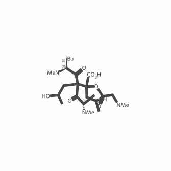 CC[C@H](C)[C@H](NC)C(=O)C(CC(C)O)(C(=O)[C@H](C)NC)C(CC(C)O)(OC(=O)CNC)C(=O)O